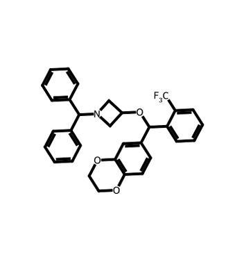 FC(F)(F)c1ccccc1C(OC1CN(C(c2ccccc2)c2ccccc2)C1)c1ccc2c(c1)OCCO2